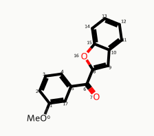 COc1cccc(C(=O)c2cc3ccccc3o2)c1